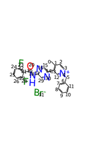 Cc1cc[n+](Cc2ccccc2)cc1-c1cnc(NC(=O)c2c(F)cccc2F)cn1.[Br-]